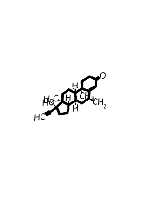 C#C[C@]1(O)CC[C@H]2[C@@H]3C[C@H](C)C4=CC(=O)CC[C@]4(C)[C@H]3CC[C@@]21C